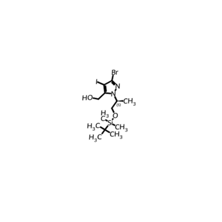 C[C@@H](CO[Si](C)(C)C(C)(C)C)n1nc(Br)c(I)c1CO